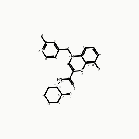 Cc1cc(CN2C=C(C(=O)N[C@H]3CCCC[C@@H]3O)Oc3c(F)cccc32)ccn1